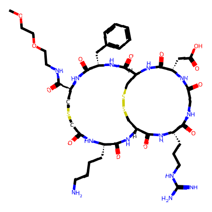 COCCOCCNC(=O)[C@@H]1CSCC(=O)N[C@@H](CCCCN)C(=O)N[C@H]2CSSC[C@H](NC(=O)[C@H](CC(=O)O)NC(=O)CNC(=O)[C@H](CCCNC(=N)N)NC2=O)C(=O)N[C@@H](Cc2ccccc2)C(=O)N1